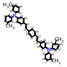 Cc1cccc(N(c2ccc(C=Cc3ccc(C=Cc4ccc(N(c5cccc(C)c5)c5cccc(C)c5)cc4)cc3)cc2)c2cccc(C)c2)c1